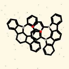 C1=Cc2c(c3ccc4c5ccccc5n(-c5cccc(N6c7ccccc7C7CCC8c9ccccc9N(c9ccccc9)C8C76)n5)c4c3n2-c2ccccc2)CC1